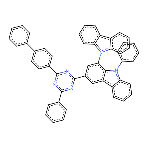 c1ccc(-c2ccc(-c3nc(-c4ccccc4)nc(-c4cc(-n5c6ccccc6c6ccccc65)c5c(c4)c4ccccc4n5-c4ccccc4)n3)cc2)cc1